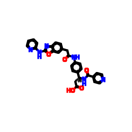 O=C(O)C[C@@H](NC(=O)c1ccncc1)c1ccc(NC(=O)Cc2ccc3nc(Nc4ccccn4)oc3c2)cc1